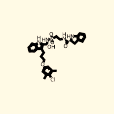 Cc1cc(OCCCc2c(C(O)NS(=O)(=O)CCNC(=O)[C@@H]3Cc4ccccc4N3)[nH]c3ccccc23)cc(C)c1Cl